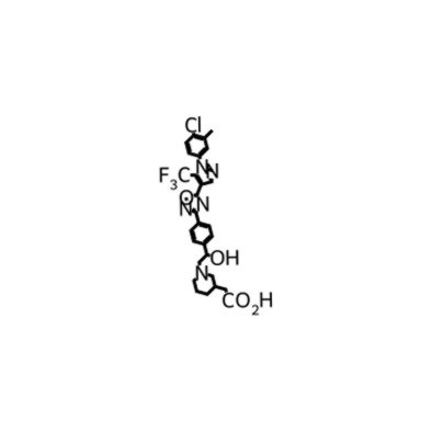 Cc1cc(-n2ncc(-c3nc(-c4ccc(C(O)CN5CCCC(CC(=O)O)C5)cc4)no3)c2C(F)(F)F)ccc1Cl